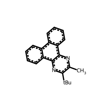 Cc1nc2c3ccccc3c3ccccc3c2nc1C(C)(C)C